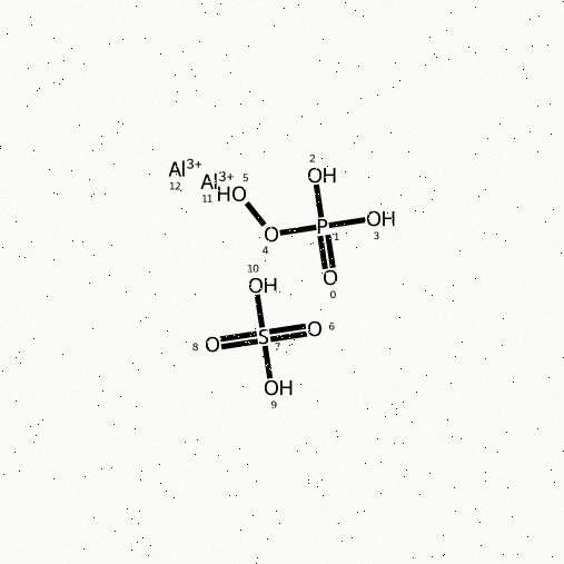 O=P(O)(O)OO.O=S(=O)(O)O.[Al+3].[Al+3]